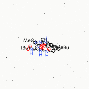 CCCCc1ccc(-c2ccc(CC(=O)NCCC(=O)N[C@@H](CCCCNC(=O)OC(C)(C)C)C(=O)N(C)[C@H](C(=O)N[C@@H](C)C(=O)N[C@@H](Cc3ccc(OC)cc3)C(=O)OC)c3ccc(OC)cc3)cc2)cc1